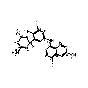 C[C@]1(c2cc(Nc3ncc(F)c4cc(C#N)cnc34)cc(F)c2F)C[C@@H](C(F)(F)F)OC(N)=N1